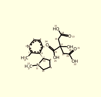 Cc1ncccc1[C@@H]1CCCN1C.O=C(O)CC(O)(CC(=O)O)C(=O)O